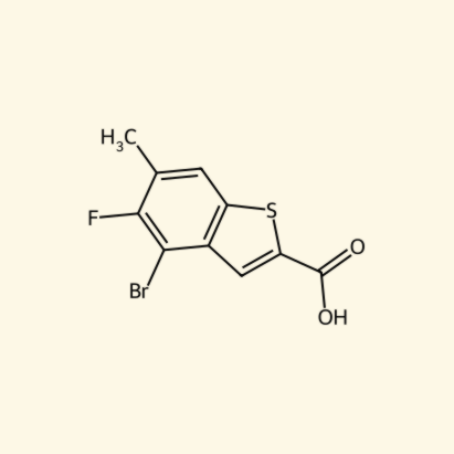 Cc1cc2sc(C(=O)O)cc2c(Br)c1F